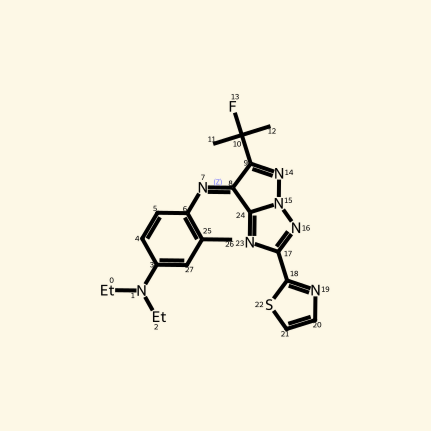 CCN(CC)c1ccc(/N=C2/C(C(C)(C)F)=Nn3nc(-c4nccs4)nc32)c(C)c1